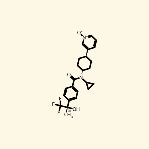 C[C@](O)(c1ccc(C(=O)N(C2CC2)[C@H]2CC[C@H](c3ccc[n+]([O-])c3)CC2)cc1)C(F)(F)F